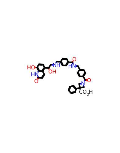 O=C(NCc1ccc(C(=O)N2CC(C(=O)O)(c3ccccc3)C2)cc1)c1ccc(CNCC(O)c2ccc(O)c3[nH]c(=O)ccc23)cc1